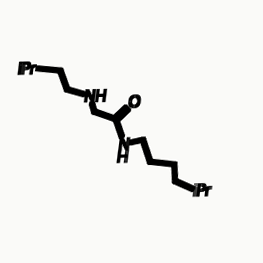 CC(C)CCCCNC(=O)CNCCC(C)C